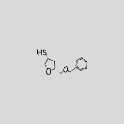 S[C@H]1CO[C@@H](COCc2ccccc2)C1